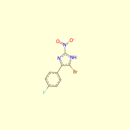 O=[N+]([O-])c1nc(-c2ccc(F)cc2)c(Br)[nH]1